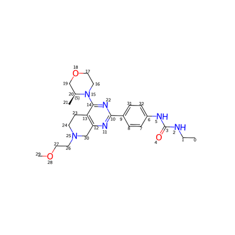 CCNC(=O)Nc1ccc(-c2nc3c(c(N4CCOC[C@@H]4C)n2)CCN(CCOC)C3)cc1